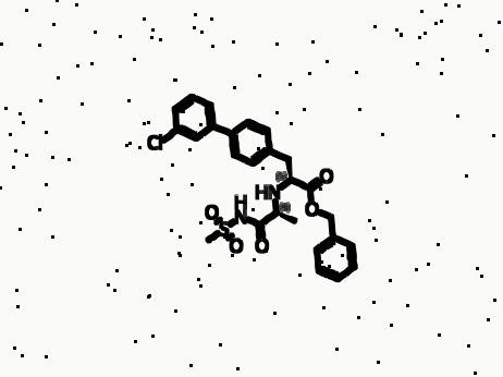 C[C@H](N[C@@H](Cc1ccc(-c2cccc(Cl)c2)cc1)C(=O)OCc1ccccc1)C(=O)NS(C)(=O)=O